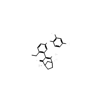 CCc1ccc(Oc2ccc(Cl)cc2Cl)cc1C1=C(O)[C@H]2CC[C@H](C2)C1=O